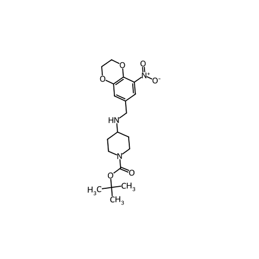 CC(C)(C)OC(=O)N1CCC(NCc2cc3c(c([N+](=O)[O-])c2)OCCO3)CC1